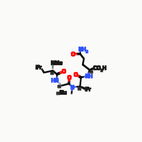 CC[C@H](C)[C@H](NC(=O)[C@H](CC(C)C)NC)C(=O)N(C)[C@@H](C(=O)N[C@@H](CCC(N)=O)C(=O)O)C(C)C